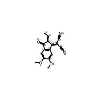 COc1cc2c(cc1OC)C(=C(C#N)C#N)/C(=C/I)C2=O